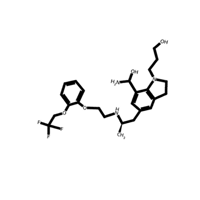 C[C@H](Cc1cc2c(c(C(N)O)c1)N(CCCO)CC2)NCCOc1ccccc1OCC(F)(F)F